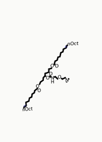 CCCCCCCC/C=C/CCCCCCCC(=O)OCCCCC(CCCCOC(=O)CCCCCCC/C=C/CCCCCCCC)OC(=O)NCCOCCN(C)C